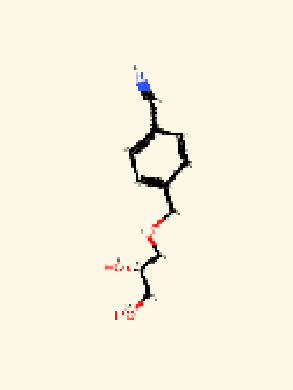 N#Cc1ccc(COC[C@@H](O)CO)cc1